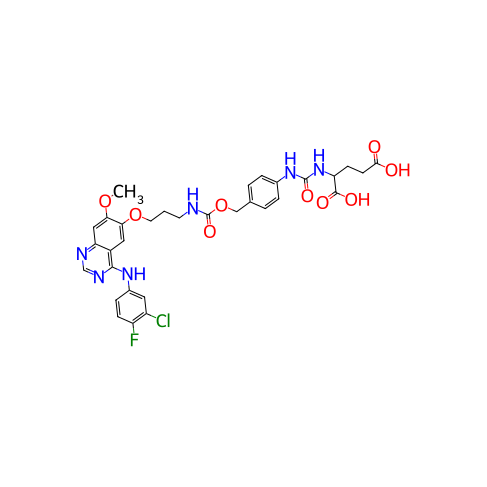 COc1cc2ncnc(Nc3ccc(F)c(Cl)c3)c2cc1OCCCNC(=O)OCc1ccc(NC(=O)NC(CCC(=O)O)C(=O)O)cc1